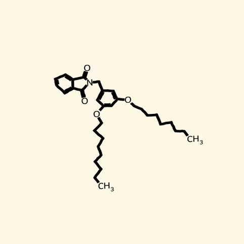 CCCCCCCCCOc1cc(CN2C(=O)c3ccccc3C2=O)cc(OCCCCCCCCC)c1